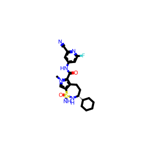 Cn1cc2c(c1C(=O)Nc1cc(F)nc(C#N)c1)CC[C@H](C1CCCCC1)NS2(=N)=O